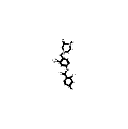 Cc1ccc(C(=O)Nc2ccc(CN3CCN(C)C(=O)C3)c(C(F)(F)F)c2)c(F)c1